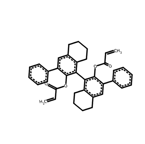 C=CC(=O)Oc1c(-c2ccccc2)cc2c(c1-c1c3c(cc(-c4ccccc4)c1OC(=O)C=C)CCCC3)CCCC2